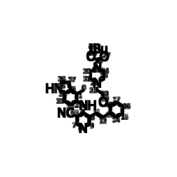 Cc1c(Nc2c(C#N)cncc2C=Cc2ccccc2OCCN2CCN(C(=O)OC(C)(C)C)CC2)ccc2[nH]ccc12